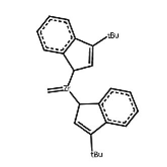 [CH2]=[Zr]([CH]1C=C(C(C)(C)C)c2ccccc21)[CH]1C=C(C(C)(C)C)c2ccccc21